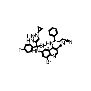 BC(Nc1cc(Br)c2ncc(C#N)c(N[C@H](CCC#N)c3ccccc3)c2c1)(C1=CN(C2CC2)NN1)c1ccc(F)cc1